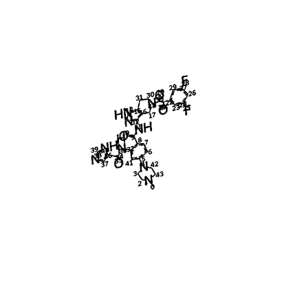 CN1CCN(c2ccc(C(=O)Nc3n[nH]c4c3CN(S(=O)(=O)c3cc(F)cc(F)c3)CC4)c(NC(=O)c3cnc[nH]3)c2)CC1